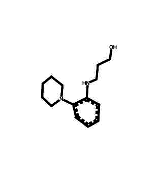 OCCCNc1ccc[c]c1N1CCCCC1